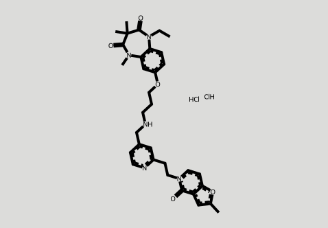 CCN1C(=O)C(C)(C)C(=O)N(C)c2cc(OCCCNCc3ccnc(CCn4ccc5oc(C)cc5c4=O)c3)ccc21.Cl.Cl